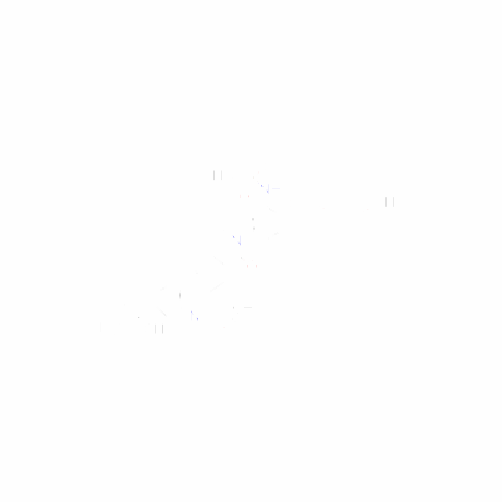 COCCOCOc1ccc(N2CCc3cc(-c4ccc(C(C)(C)C)cc4N4CCO[C@@H](C)C4)ccc3C2=O)cc1NS(C)(=O)=O